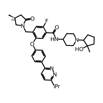 CC(C)c1ccc(-c2ccc(Oc3cc(C(=O)NC4CCN(C5CCCC5(C)O)CC4)c(F)cc3CN3C[C@@H](C)CC3=O)cc2)nn1